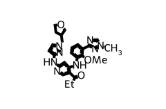 CCC(=O)c1cnc(Nc2ccn(CC3CCOC3)n2)cc1Nc1cccc(-c2ncn(C)n2)c1OC